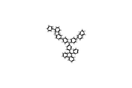 c1ccc(-c2c(-c3ccc(N(c4ccc(-c5ccc6ccccc6c5)cc4)c4ccc(-c5ccc6oc7c(-c8ccccc8)cccc7c6c5)cc4)cc3)c3ccccc3c3ccccc23)cc1